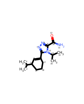 CC(C)C1C=C(c2nnc(C(N)=O)n2C(C)C)CCC1